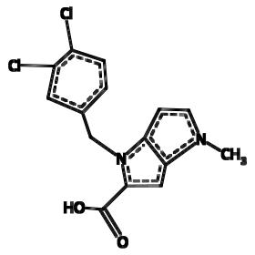 Cn1ccc2c1cc(C(=O)O)n2Cc1ccc(Cl)c(Cl)c1